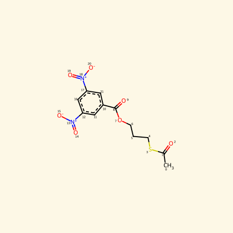 CC(=O)SCCCOC(=O)c1cc([N+](=O)[O-])cc([N+](=O)[O-])c1